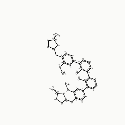 COc1nc(-c2cccc(-c3cccc(-c4cnc(CN5CC[C@@H](C)C5)c(OC)n4)c3Cl)c2Cl)cnc1CN1CC[C@@H](C)C1